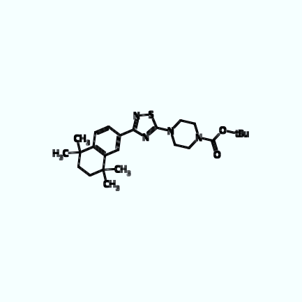 CC(C)(C)OC(=O)N1CCN(c2nc(-c3ccc4c(c3)C(C)(C)CCC4(C)C)ns2)CC1